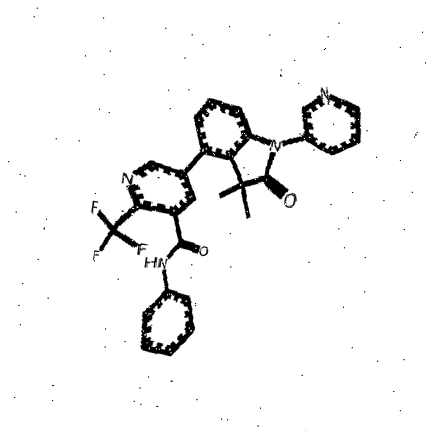 CC1(C)C(=O)N(c2cccnc2)c2cccc(-c3cnc(C(F)(F)F)c(C(=O)Nc4ccccc4)c3)c21